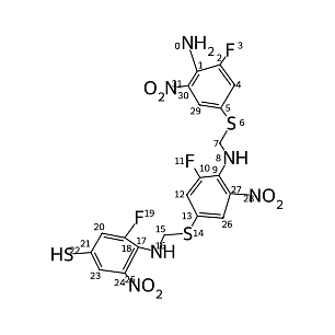 Nc1c(F)cc(SCNc2c(F)cc(SCNc3c(F)cc(S)cc3[N+](=O)[O-])cc2[N+](=O)[O-])cc1[N+](=O)[O-]